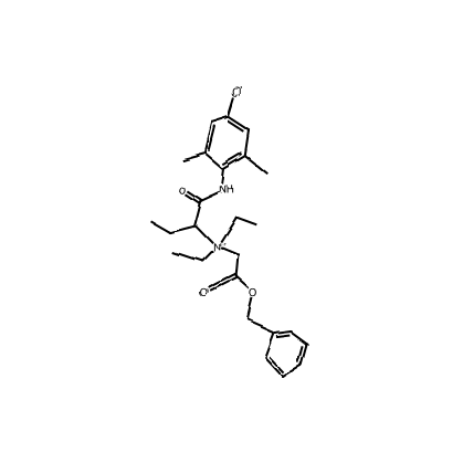 CCC(C(=O)Nc1c(C)cc(Cl)cc1C)[N+](CC)(CC)CC(=O)OCc1ccccc1